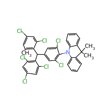 Cc1cc(Cl)cc(Cl)c1C(c1cc(Cl)c(N2c3ccccc3C(C)(C)c3ccccc32)c(Cl)c1)c1c(Cl)cc(Cl)cc1Cl